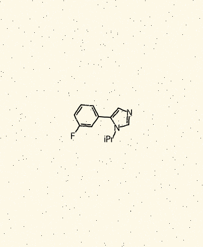 CC(C)n1cncc1-c1cccc(F)c1